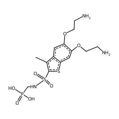 Cc1c(S(=O)(=O)NCP(=O)(O)O)sc2cc(OCCN)c(OCCN)cc12